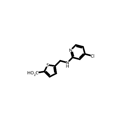 O=C(O)c1ccc(CNc2cc(Cl)ccn2)s1